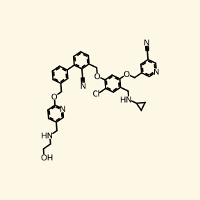 N#Cc1cncc(COc2cc(OCc3cccc(-c4cccc(COc5ccc(CNCCO)cn5)c4)c3C#N)c(Cl)cc2CNC2CC2)c1